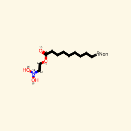 CCCCCCCCCCCCCCCCCC(=O)OCCN(O)O